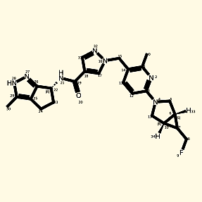 Cc1nc(N2C[C@@H]3C(CF)[C@@H]3C2)ccc1Cn1cc(C(=O)N[C@@H]2CCc3c2n[nH]c3C)cn1